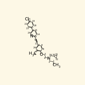 CCCN(CCOc1ccc(C#Cc2ccc(-c3ccc(Cl)cc3)cn2)cc1C)CC1CC1